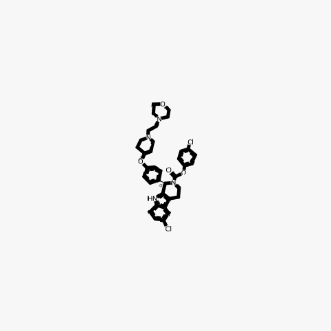 O=C(Oc1ccc(Cl)cc1)N1CCc2c([nH]c3ccc(Cl)cc23)[C@@H]1c1ccc(OC2CCN(CCN3CCOCC3)CC2)cc1